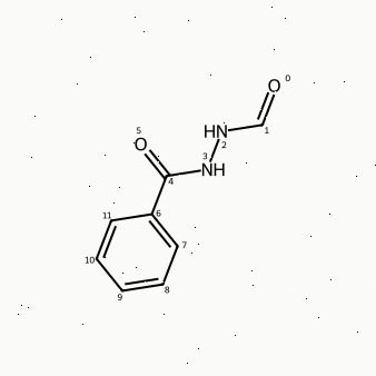 O=CNNC(=O)c1ccccc1